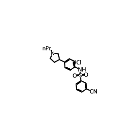 CCCN1CCC(c2ccc(NS(=O)(=O)c3cccc(C#N)c3)cc2)C1.Cl